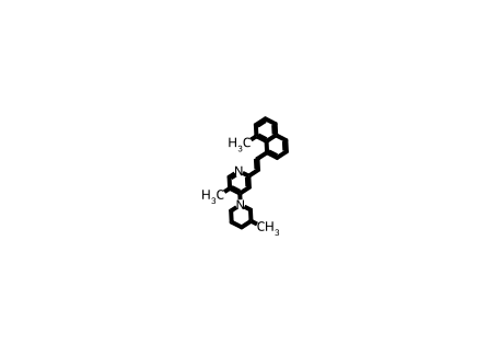 Cc1cnc(C=Cc2cccc3cccc(C)c23)cc1N1CCCC(C)C1